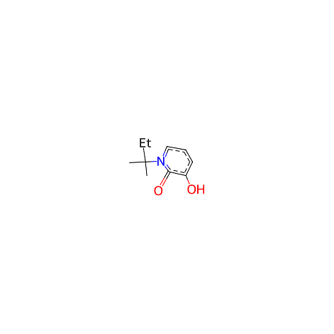 CCC(C)(C)n1cccc(O)c1=O